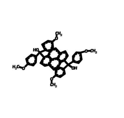 COc1ccc(C(O)(c2ccc(OC)cc2)c2ccc3ccc4c(C(O)(c5ccc(OC)cc5)c5ccc(OC)cc5)ccc5ccc2c3c54)cc1